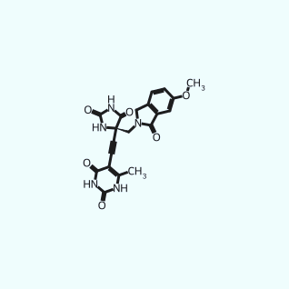 COc1ccc2c(c1)C(=O)N(C[C@@]1(C#Cc3c(C)[nH]c(=O)[nH]c3=O)NC(=O)NC1=O)C2